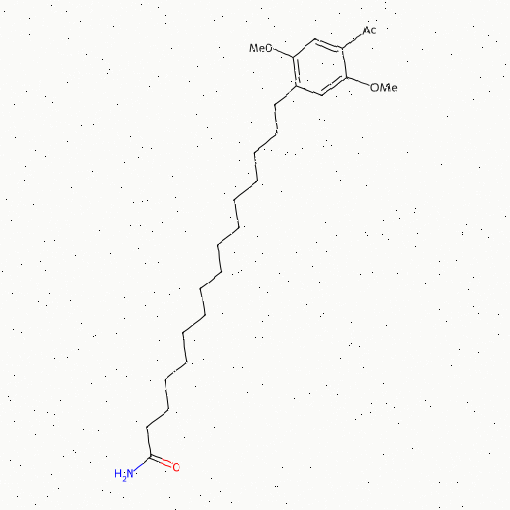 COc1cc(C(C)=O)c(OC)cc1CCCCCCCCCCCCCCCC(N)=O